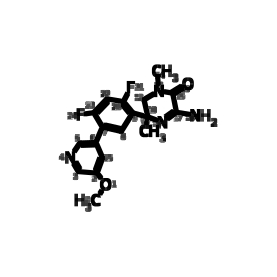 COc1cncc(-c2cc([C@]3(C)CN(C)C(=O)C(N)=N3)c(F)cc2F)c1